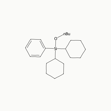 CCCCO[Si](c1ccccc1)(C1CCCCC1)C1CCCCC1